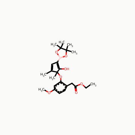 CCOC(=O)Cc1ccc(OC)cc1OC1(C)C(C)=CC(B2OC(C)(C)C(C)(C)O2)=C1O